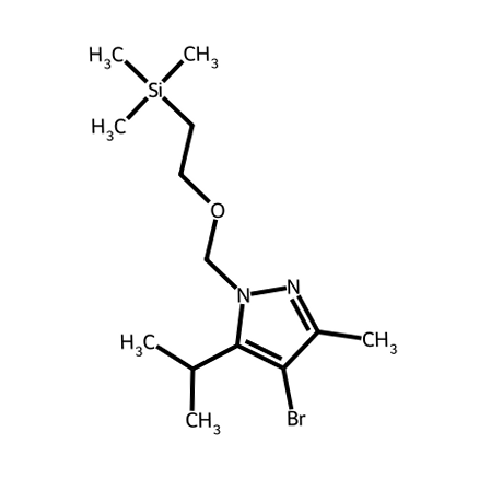 Cc1nn(COCC[Si](C)(C)C)c(C(C)C)c1Br